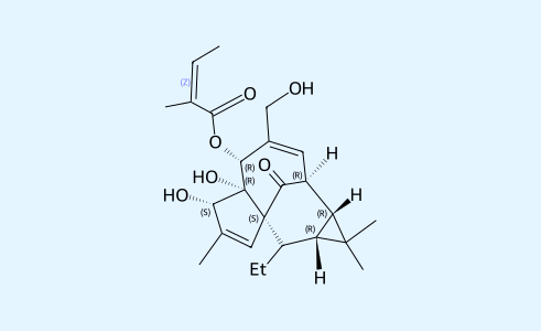 C/C=C(/C)C(=O)O[C@@H]1C(CO)=C[C@@H]2C(=O)[C@]3(C=C(C)[C@H](O)[C@@]13O)C(CC)[C@@H]1[C@H]2C1(C)C